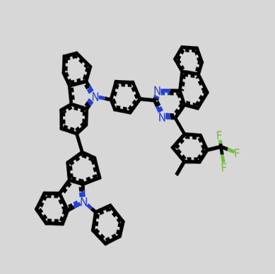 Cc1cc(-c2nc(-c3ccc(-n4c5ccccc5c5ccc(-c6ccc7c(c6)c6ccccc6n7-c6ccccc6)cc54)cc3)nc3c2ccc2ccccc23)cc(C(F)(F)F)c1